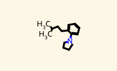 CC(C)CCc1ccccc1N1CCCC1